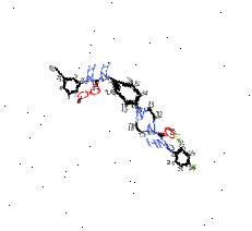 COc1ccc(C)cc1NC(=O)Nc1ccc(N2CCN(C(=O)Nc3ccc(F)cc3F)CC2)cc1